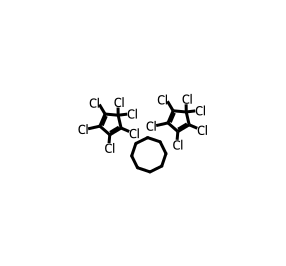 C1CCCCCCC1.ClC1=C(Cl)C(Cl)(Cl)C(Cl)=C1Cl.ClC1=C(Cl)C(Cl)(Cl)C(Cl)=C1Cl